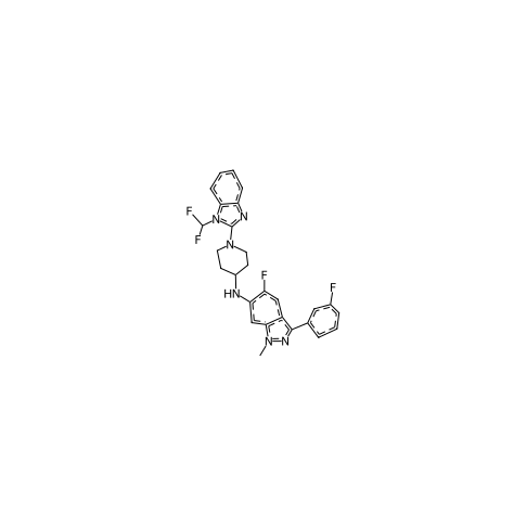 Cn1nc(-c2cccc(F)c2)c2cc(F)c(NC3CCN(c4nc5ccccc5n4C(F)F)CC3)cc21